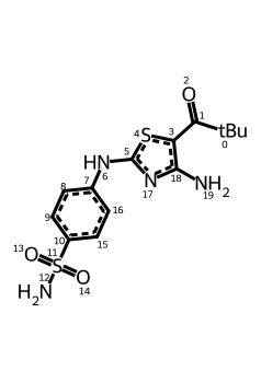 CC(C)(C)C(=O)c1sc(Nc2ccc(S(N)(=O)=O)cc2)nc1N